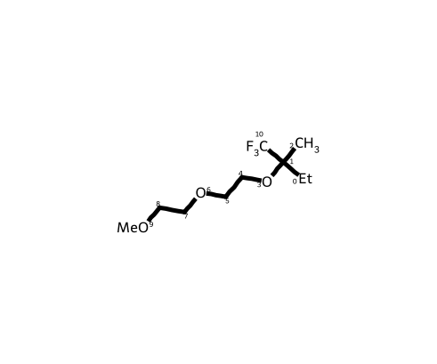 CCC(C)(OCCOCCOC)C(F)(F)F